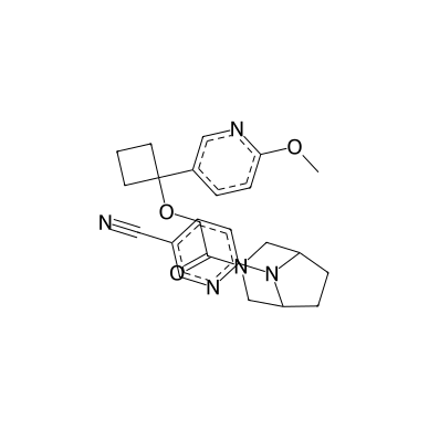 COc1ccc(C2(OCC(=O)N3CC4CCC(C3)N4c3ccc(C#N)cn3)CCC2)cn1